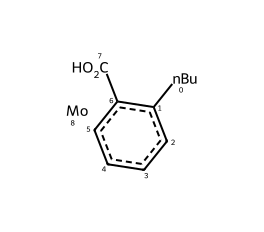 CCCCc1ccccc1C(=O)O.[Mo]